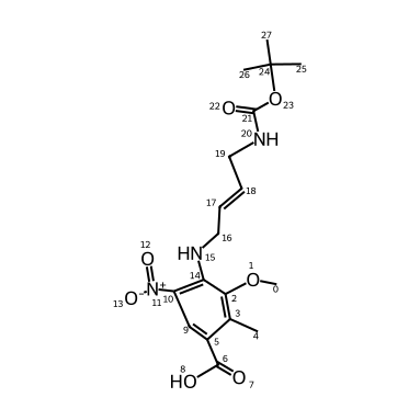 COc1c(C)c(C(=O)O)cc([N+](=O)[O-])c1NCC=CCNC(=O)OC(C)(C)C